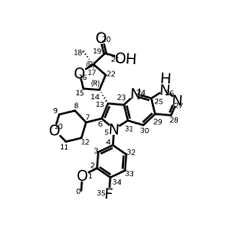 COc1cc(-n2c(C3CCOCC3)c([C@@H]3CO[C@@](C)(C(=O)O)C3)c3nc4[nH]ncc4cc32)ccc1F